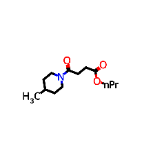 CCCOC(=O)CCC(=O)N1CCC(C)CC1